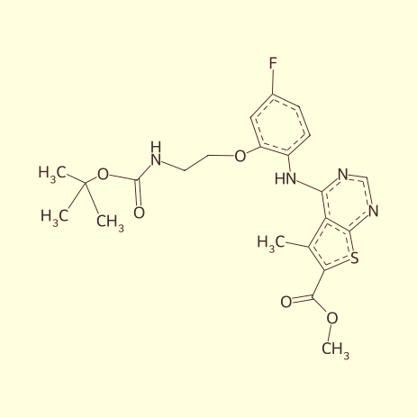 COC(=O)c1sc2ncnc(Nc3ccc(F)cc3OCCNC(=O)OC(C)(C)C)c2c1C